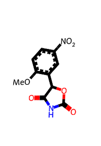 COc1ccc([N+](=O)[O-])cc1C1OC(=O)NC1=O